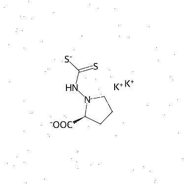 O=C([O-])[C@@H]1CCCN1NC(=S)[S-].[K+].[K+]